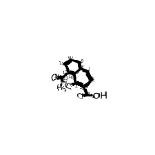 Cc1c(C(=O)O)ccc2cccc(C(=O)Cl)c12